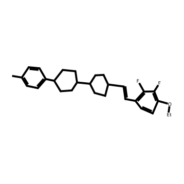 CCOc1ccc(/C=C/C2CCC(C3CCC(c4ccc(C)cc4)CC3)CC2)c(F)c1F